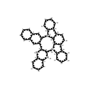 c1ccc2cc3c(cc2c1)c1nc2ccccc2nc1n1c2ccccc2c2ccc4c5ccccc5n3c4c21